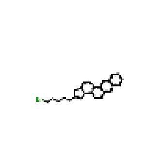 BrCCCCCC1=Cc2c(ccc3c2ccc2cc4ccccc4cc23)C1